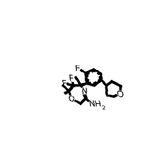 CC1(C)OCC(N)=NC(C)(c2cc(C3CCOCC3)ccc2F)C1(F)F